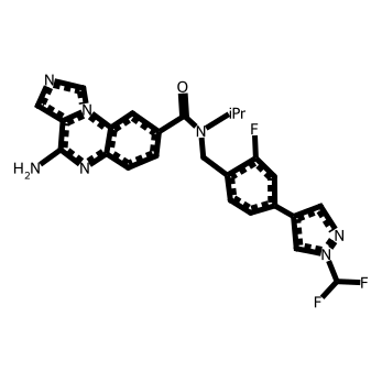 CC(C)N(Cc1ccc(-c2cnn(C(F)F)c2)cc1F)C(=O)c1ccc2nc(N)c3cncn3c2c1